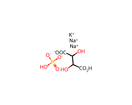 O=C([O-])C(O)C(O)C(=O)O.O=P([O-])([O-])O.[K+].[Na+].[Na+]